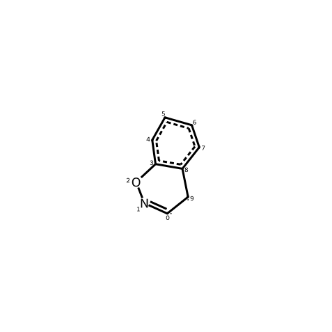 [C]1=NOc2ccccc2[CH]1